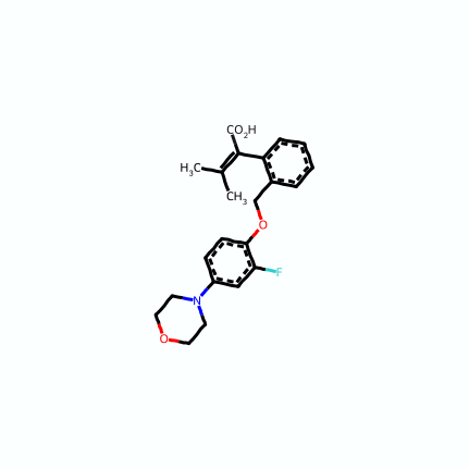 CC(C)=C(C(=O)O)c1ccccc1COc1ccc(N2CCOCC2)cc1F